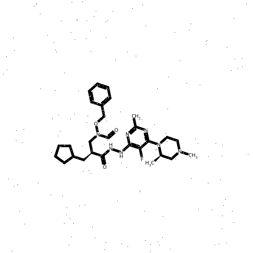 Cc1nc(NNC(=O)[C@@H](CC2CCCC2)CN(C=O)OCc2ccccc2)c(F)c(N2CCN(C)C[C@H]2C)n1